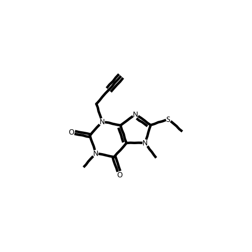 C#CCn1c(=O)n(C)c(=O)c2c1nc(SC)n2C